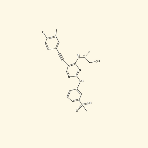 Cc1cc(C#Cc2cnc(Nc3cccc(S(C)(=N)=O)c3)nc2N[C@H](C)CO)ccc1F